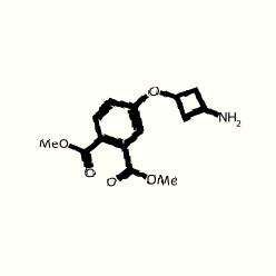 COC(=O)c1ccc(OC2CC(N)C2)cc1C(=O)OC